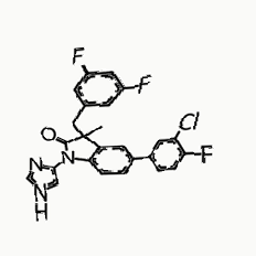 CC1(Cc2cc(F)cc(F)c2)C(=O)N(c2c[nH]cn2)c2ccc(-c3ccc(F)c(Cl)c3)cc21